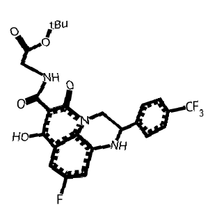 CC(C)(C)OC(=O)CNC(=O)c1c(O)c2cc(F)cc3c2n(c1=O)CC(c1ccc(C(F)(F)F)cc1)N3